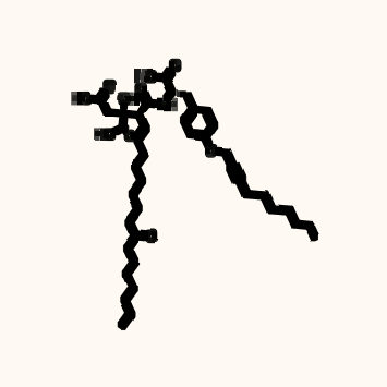 CCCCCCCC#CCOc1ccc(C[C@H](NC(=O)[C@@H](/C=C/CCCCCCC(=O)CCCCCCC)[C@@](O)(CC(=O)O)C(=O)O)C(=O)O)cc1